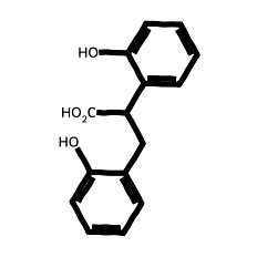 O=C(O)C(Cc1ccccc1O)c1ccccc1O